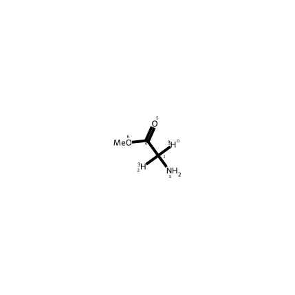 [3H]C([3H])(N)C(=O)OC